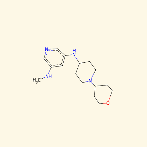 CNc1cncc(NC2CCN(C3CCOCC3)CC2)c1